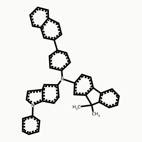 CC1(C)c2ccccc2-c2ccc(N(c3ccc(-c4ccc5ccccc5c4)cc3)c3ccc4c(ccn4-c4ccccc4)c3)cc21